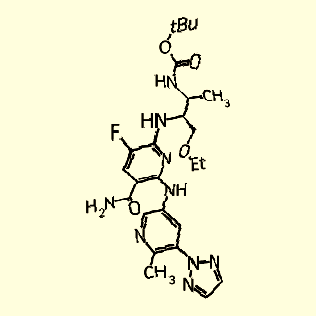 CCOC[C@@H](Nc1nc(Nc2cnc(C)c(-n3nccn3)c2)c(C(N)=O)cc1F)[C@H](C)NC(=O)OC(C)(C)C